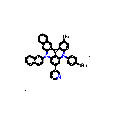 CC(C)(C)c1ccc(N2c3ccc(C(C)(C)C)cc3B3c4cc5ccccc5cc4N(c4ccc5ccccc5c4)c4cc(-c5cccnc5)cc2c43)cc1